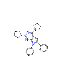 c1ccc(-c2cc3c(N4CCCC4)nc(N4CCCC4)nc3n2-c2ccccc2)cc1